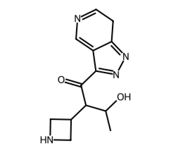 CC(O)C(C(=O)C1=NN=C2CC=NC=C21)C1CNC1